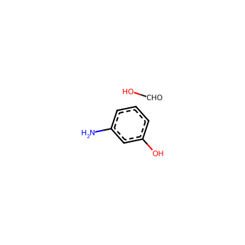 Nc1cccc(O)c1.O=CO